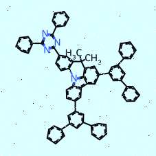 CC1(C)c2cc(-c3nc(-c4ccccc4)nc(-c4ccccc4)n3)ccc2-n2c3ccc(-c4cc(-c5ccccc5)cc(-c5ccccc5)c4)cc3c3cc(-c4cc(-c5ccccc5)cc(-c5ccccc5)c4)cc1c32